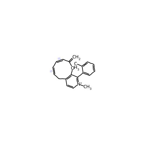 C=C1/C=C\C=C/Cc2cc[n+](C)c(-c3ccccc3C)c2O1